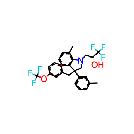 Cc1cccc(C2(Cc3cccc(OC(F)(F)F)c3)CN(C[C@@H](O)C(F)(F)F)c3c(C)cccc32)c1